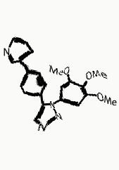 COc1cc(-n2nncc2-c2ccc(-c3cccnc3)cc2)cc(OC)c1OC